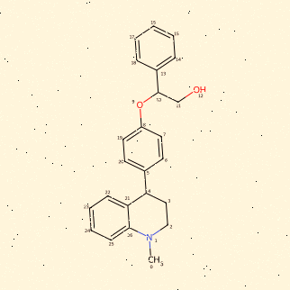 CN1CCC(c2ccc(OC(CO)c3ccccc3)cc2)c2ccccc21